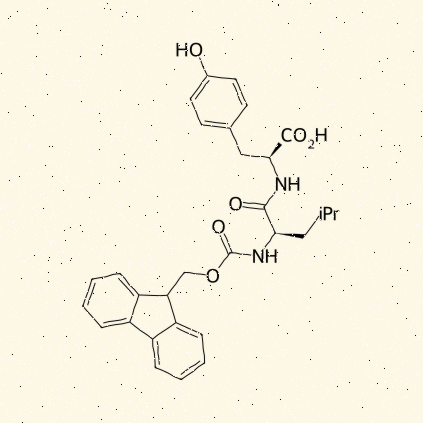 CC(C)C[C@@H](NC(=O)OCC1c2ccccc2-c2ccccc21)C(=O)N[C@@H](Cc1ccc(O)cc1)C(=O)O